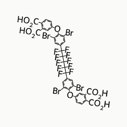 O=C(O)c1ccc(Oc2c(Br)cc(C(F)(F)C(F)(F)C(F)(F)C(F)(F)C(F)(F)c3cc(Br)c(Oc4ccc(C(=O)O)c(C(=O)O)c4)c(Br)c3)cc2Br)cc1C(=O)O